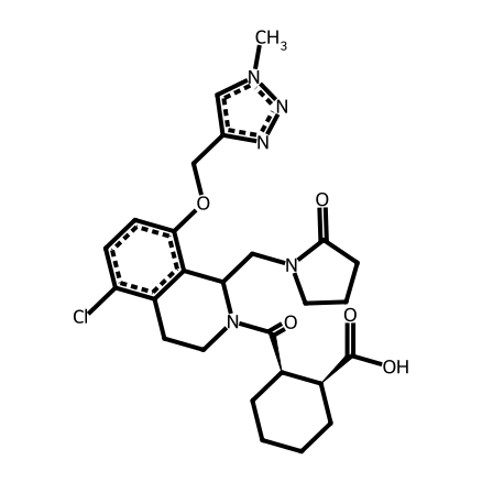 Cn1cc(COc2ccc(Cl)c3c2C(CN2CCCC2=O)N(C(=O)[C@@H]2CCCC[C@@H]2C(=O)O)CC3)nn1